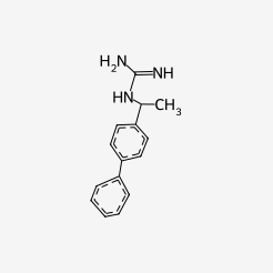 CC(NC(=N)N)c1ccc(-c2ccccc2)cc1